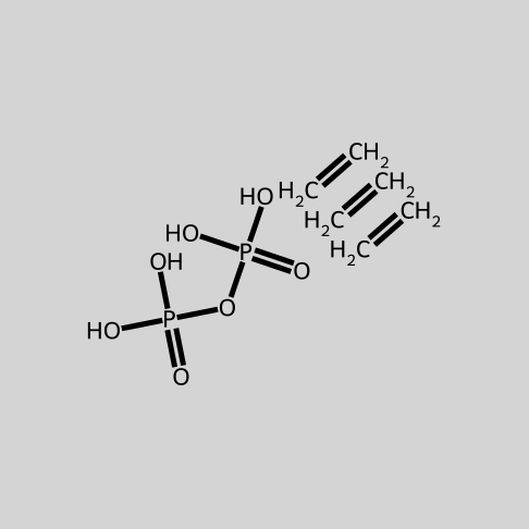 C=C.C=C.C=C.O=P(O)(O)OP(=O)(O)O